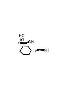 C1CCCCC1.Cl.Cl.N=C=O.N=C=O